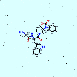 CN1C(=O)OC2CCN(C(=O)[C@@H](Cc3c[nH]c4ccccc34)NC(=O)C(C)(C)N)CC21Cc1ccccc1